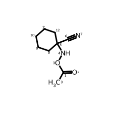 CC(=O)ONC1(C#N)CCCCC1